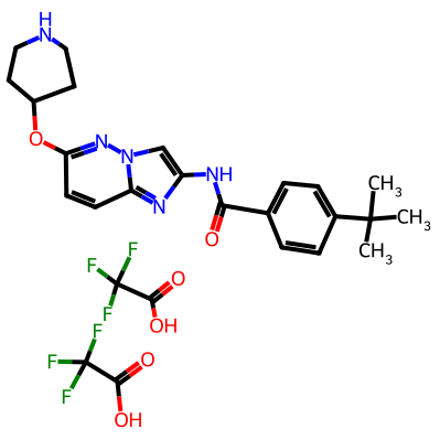 CC(C)(C)c1ccc(C(=O)Nc2cn3nc(OC4CCNCC4)ccc3n2)cc1.O=C(O)C(F)(F)F.O=C(O)C(F)(F)F